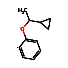 CC(Oc1[c]cccc1)C1CC1